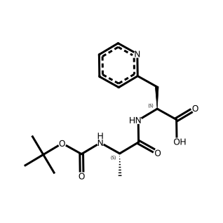 C[C@H](NC(=O)OC(C)(C)C)C(=O)N[C@@H](Cc1ccccn1)C(=O)O